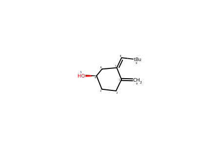 C=C1CC[C@@H](O)C/C1=C/C(C)(C)C